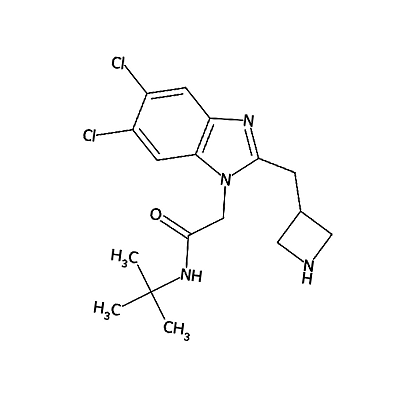 CC(C)(C)NC(=O)Cn1c(CC2CNC2)nc2cc(Cl)c(Cl)cc21